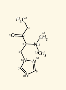 CCC(=O)C(Cn1cncn1)N(C)C